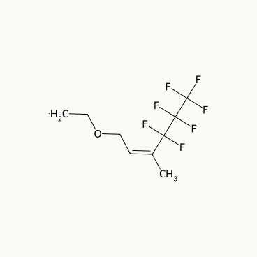 [CH2]COCC=C(C)C(F)(F)C(F)(F)C(F)(F)F